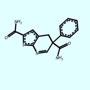 NC(=O)c1cc2c(s1)N=CC(C(N)=O)(c1ccccc1)C2